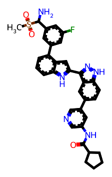 CS(=O)(=O)C(N)c1cc(F)cc(-c2cccc3[nH]c(-c4n[nH]c5ccc(-c6cncc(NC(=O)C7CCCC7)c6)cc45)cc23)c1